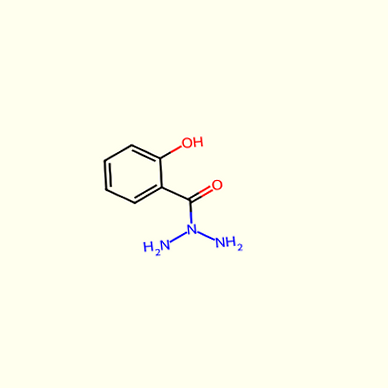 NN(N)C(=O)c1ccccc1O